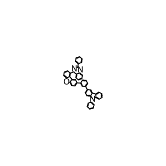 c1ccc(-c2nc(-c3cccc4oc5ccc(-c6cccc(-c7ccc8c(c7)c7ccccc7n8-c7ccccc7)c6)cc5c34)c3ccccc3n2)cc1